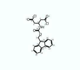 O=C(Cl)CC(CC(=O)Cl)NC(=O)OCC1c2ccccc2-c2ccccc21